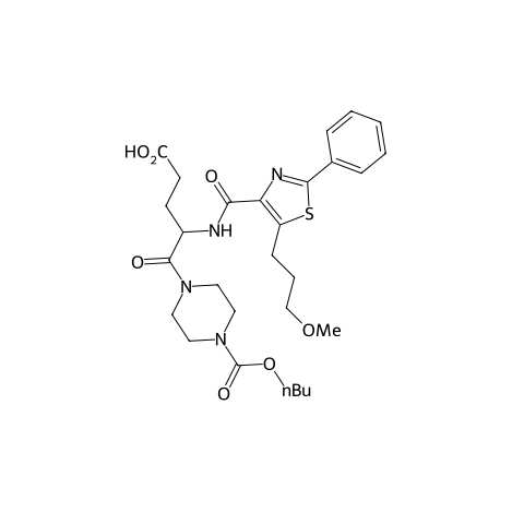 CCCCOC(=O)N1CCN(C(=O)C(CCC(=O)O)NC(=O)c2nc(-c3ccccc3)sc2CCCOC)CC1